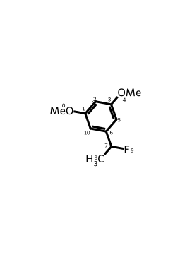 COc1[c]c(OC)cc(C(C)F)c1